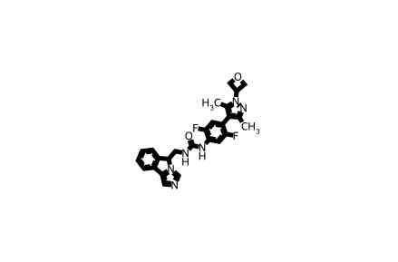 Cc1nn(C2COC2)c(C)c1-c1cc(F)c(NC(=O)NCC2c3ccccc3-c3cncn32)cc1F